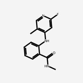 CNC(=O)c1ccccc1Nc1cc(F)ncc1C